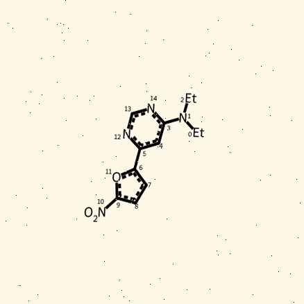 CCN(CC)c1cc(-c2ccc([N+](=O)[O-])o2)ncn1